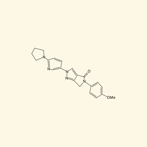 COc1ccc(N2Cc3nn(-c4ccc(N5CCCC5)nc4)cc3C2=O)cc1